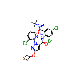 CC(C)(C)NC(=O)c1cc(Cl)cc(Br)c1NC(=O)c1cc(OC2CSC2)nn1-c1ncccc1Cl